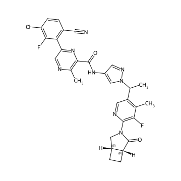 Cc1ncc(-c2c(C#N)ccc(Cl)c2F)nc1C(=O)Nc1cnn(C(C)c2cnc(N3C[C@H]4CC[C@H]4C3=O)c(F)c2C)c1